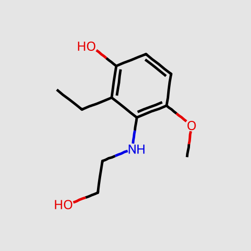 CCc1c(O)ccc(OC)c1NCCO